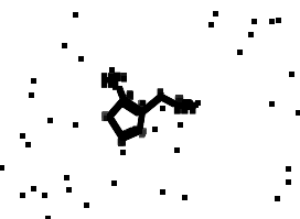 CCCCC1=[C]([Hf])CC=C1